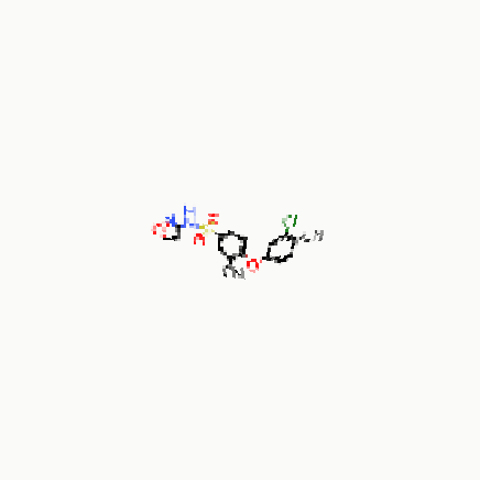 N#Cc1ccc(Oc2ccc(S(=O)(=O)Nc3ccon3)cc2C#N)cc1Cl